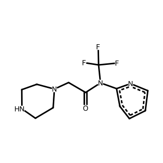 O=C(CN1CCNCC1)N(c1ccccn1)C(F)(F)F